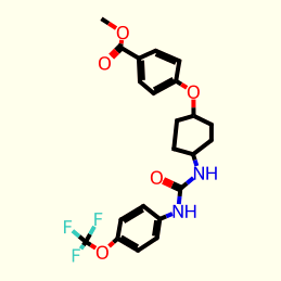 COC(=O)c1ccc(OC2CCC(NC(=O)Nc3ccc(OC(F)(F)F)cc3)CC2)cc1